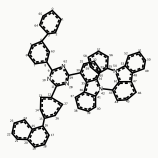 c1ccc(-c2cccc(-c3nc(-c4ccc(-c5cccc6ccccc56)cc4)nc(-c4cccc5c4c4ccccc4n5-c4cccc5c6ccccc6n(-c6ccccc6)c45)n3)c2)cc1